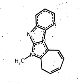 Cn1c2c(n3c4ncccc4nc13)C=CC=CC2